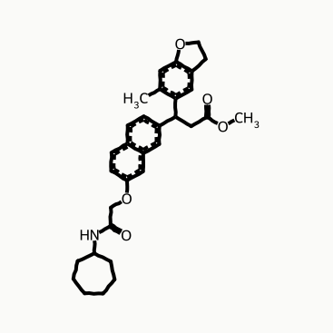 COC(=O)CC(c1ccc2ccc(OCC(=O)NC3CCCCCC3)cc2c1)c1cc2c(cc1C)OCC2